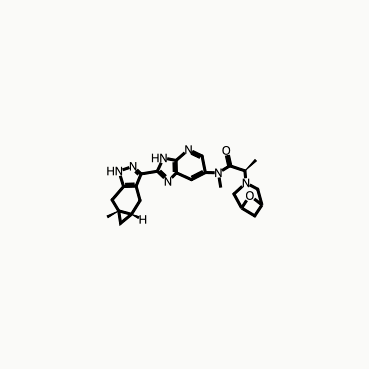 C[C@H](C(=O)N(C)c1cnc2[nH]c(-c3n[nH]c4c3C[C@@H]3C[C@]3(C)C4)nc2c1)N1CC2CC(C1)O2